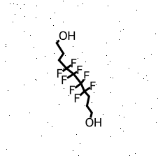 OCCCC(F)(F)C(F)(F)C(F)(F)C(F)(F)CCCO